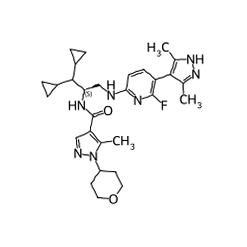 Cc1n[nH]c(C)c1-c1ccc(NC[C@@H](NC(=O)c2cnn(C3CCOCC3)c2C)C(C2CC2)C2CC2)nc1F